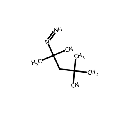 CC(C)(C#N)CC(C)(C#N)N=N